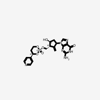 C=C1C(n2cnc3c(=O)[nH]c(N)nc32)C[C@H](O)[C@H]1CO[P@]1(=O)OCC[C@H](c2ccncc2)O1